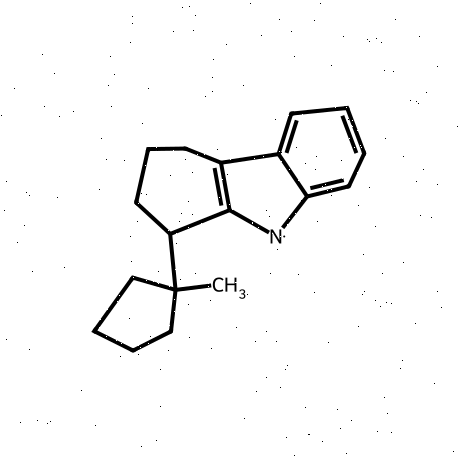 CC1(C2CCCC3=C2[N]c2ccccc23)CCCC1